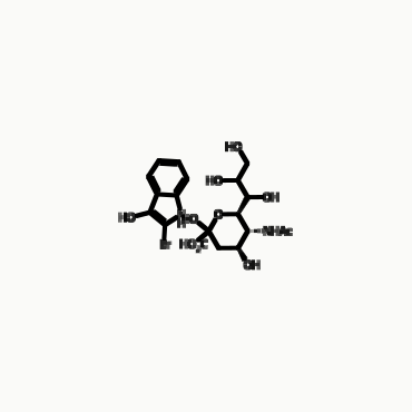 CC(=O)N[C@@H]1[C@@H](O)CC(O)(C(=O)O)O[C@H]1C(O)C(O)CO.Oc1c(Br)[nH]c2ccccc12